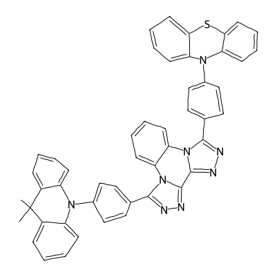 CC1(C)c2ccccc2N(c2ccc(-c3nnc4c5nnc(-c6ccc(N7c8ccccc8Sc8ccccc87)cc6)n5c5ccccc5n34)cc2)c2ccccc21